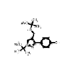 COC(C)(C)OCc1cn(C(C)(C)OC)nc1-c1ccc(Cl)cc1